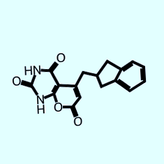 O=c1[nH]c(=O)c2c(CC3Cc4ccccc4C3)cc(=O)oc2[nH]1